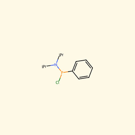 CC(C)N(C(C)C)P(Cl)c1ccccc1